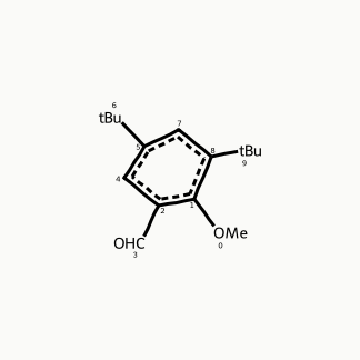 COc1c(C=O)cc(C(C)(C)C)cc1C(C)(C)C